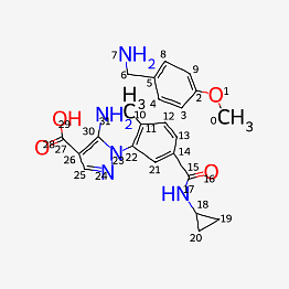 COc1ccc(CN)cc1.Cc1ccc(C(=O)NC2CC2)cc1-n1ncc(C(=O)O)c1N